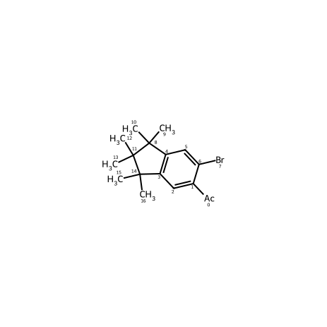 CC(=O)c1cc2c(cc1Br)C(C)(C)C(C)(C)C2(C)C